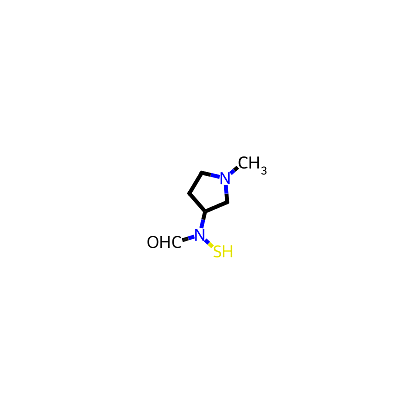 CN1CCC(N(S)C=O)C1